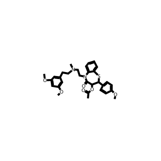 COc1ccc(C2Sc3ccccc3N(CCN(C)CCc3cc(OC)cc(OC)c3)C(=O)C2OC(C)=O)cc1